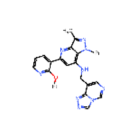 CCOc1ncccc1-c1cc(NCc2cncn3cnnc23)c2c(n1)c(C)nn2C(C)C